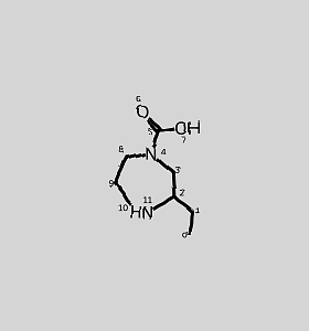 CCC1CN(C(=O)O)CCCN1